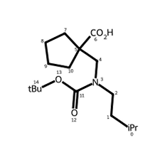 CC(C)CCN(CC1(C(=O)O)CCCC1)C(=O)OC(C)(C)C